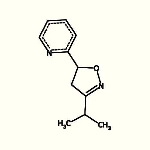 CC(C)C1=NOC(c2ccccn2)C1